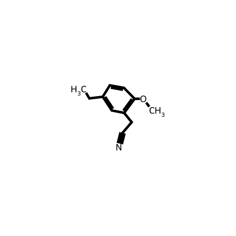 CCc1ccc(OC)c(CC#N)c1